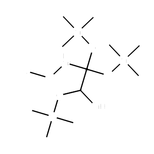 C[Si](C)(C)OC([SiH3])C(O[Si](C)(C)C)(O[Si](C)(C)C)[SiH2]O[SiH3]